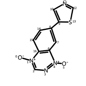 [O-][n+]1cn[n+]([O-])c2cc(-c3cncs3)ccc21